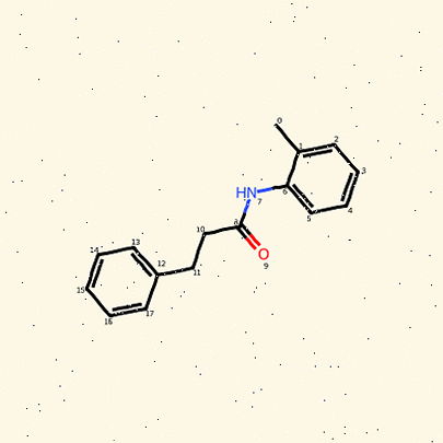 Cc1ccccc1NC(=O)CCc1ccccc1